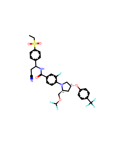 CCS(=O)(=O)c1ccc(C(CC#N)NC(=O)c2ccc(N3C[C@H](Oc4ccc(C(F)(F)F)cc4)C[C@H]3COC(F)F)c(F)c2)cc1